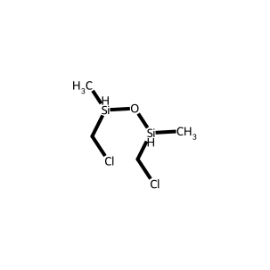 C[SiH](CCl)O[SiH](C)CCl